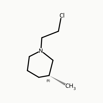 C[C@@H]1CCCN(CCCl)C1